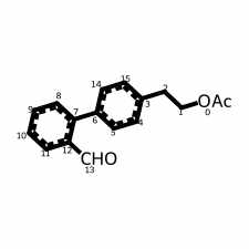 CC(=O)OCCc1ccc(-c2ccccc2C=O)cc1